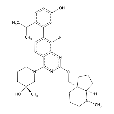 CC(C)c1ccc(O)cc1-c1ccc2c(N3CCC[C@@](C)(O)C3)nc(OC[C@]34CCC[C@H]3N(C)CCC4)nc2c1F